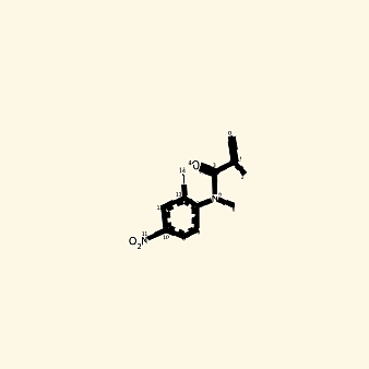 C=C(C)C(=O)N(C)c1ccc([N+](=O)[O-])cc1I